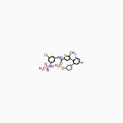 COC1CCN(c2cc(F)cnc2-c2cc(C(=O)Nc3cc(Cl)cc(NS(C)(=O)=O)c3)sc2C)C1